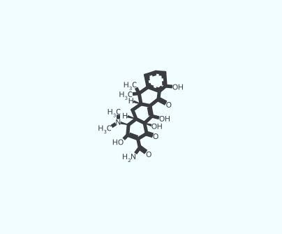 CN(C)[C@@H]1C(O)=C(C(N)=O)C(=O)[C@@]2(O)C(O)=C3C(=O)c4c(O)cccc4C(C)(C)[C@H]3C[C@@H]12